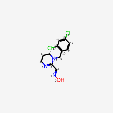 ON=CC1=NCCCN1Cc1ccc(Cl)cc1Cl